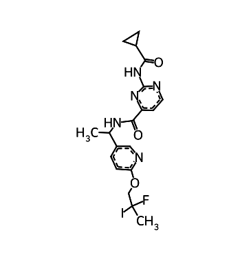 CC(NC(=O)c1ccnc(NC(=O)C2CC2)n1)c1ccc(OCC(C)(F)I)nc1